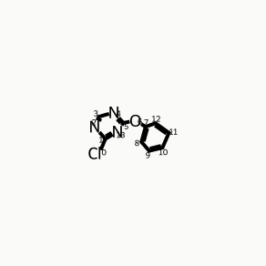 Clc1ncnc(Oc2ccccc2)n1